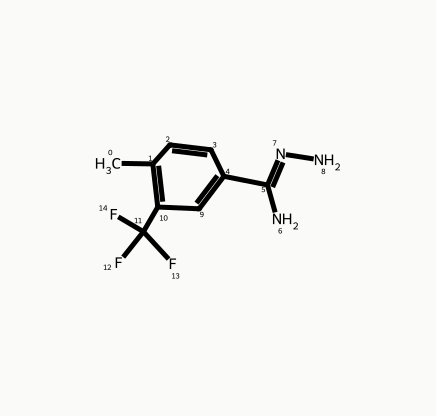 Cc1ccc(/C(N)=N/N)cc1C(F)(F)F